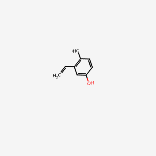 [CH]c1ccc(O)cc1C=C